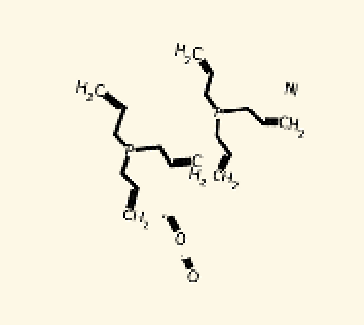 C=CCP(CC=C)CC=C.C=CCP(CC=C)CC=C.[C]=O.[C]=O.[Ni]